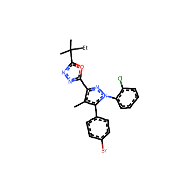 CCC(C)(C)c1nnc(-c2nn(-c3ccccc3Cl)c(-c3ccc(Br)cc3)c2C)o1